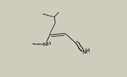 CN/C(=C\C=N)C(C)C